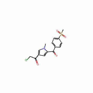 Cn1cc(C(=O)CCl)cc1C(=O)c1ccc(S(C)(=O)=O)cc1